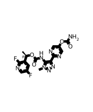 C[C@@H](OC(=O)Nc1c(-c2ncc(OC(N)=O)cn2)nnn1C)c1cc(F)cnc1F